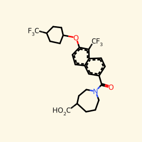 O=C(O)C1CCCN(C(=O)c2ccc3c(C(F)(F)F)c(OC4CCC(C(F)(F)F)CC4)ccc3c2)CC1